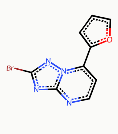 Brc1nc2nccc(-c3ccco3)n2n1